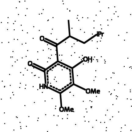 COc1[nH]c(=O)c(C(=O)C(C)CC(C)C)c(O)c1OC